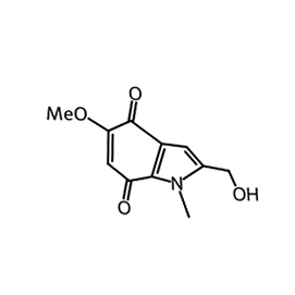 COC1=CC(=O)c2c(cc(CO)n2C)C1=O